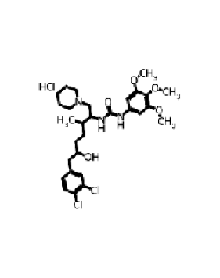 COc1cc(NC(=O)NC(CN2CCCCC2)C(C)CCC(O)Cc2ccc(Cl)c(Cl)c2)cc(OC)c1OC.Cl